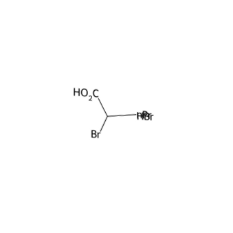 Br.CCCC(Br)C(=O)O